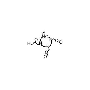 CCN1CCN(COC=O)CCN(COC=O)CCN(CC(=O)O)CC1